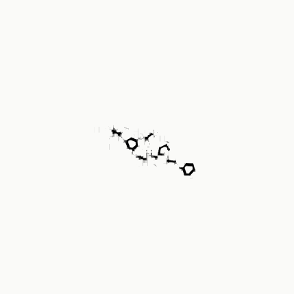 CC(C)(CNC(=O)[C@H]1CCCN1C(=O)COc1ccccc1)Nc1cc(OC(=O)C(C)(C)C)cc(OC(=O)C(C)(C)C)c1